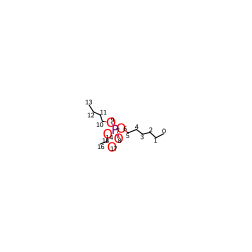 CCCCCCOP(=O)(OCCCC)OC(C)=O